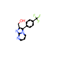 OCc1nc2ncccn2c1-c1ccc(C(F)(F)F)cc1